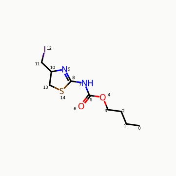 CCCCOC(=O)NC1=NC(CI)CS1